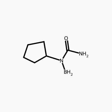 BN(C(N)=O)C1CCCC1